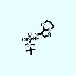 CC(C)(C)[Si](C)(C)S(=O)(=O)NN=C1C=NN2C[CH]COC12